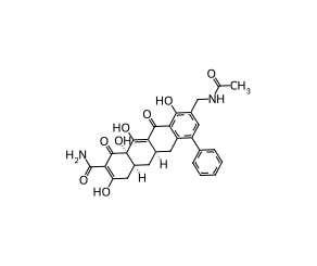 CC(=O)NCc1cc(-c2ccccc2)c2c(c1O)C(=O)C1=C(O)[C@]3(O)C(=O)C(C(N)=O)=C(O)C[C@@H]3C[C@@H]1C2